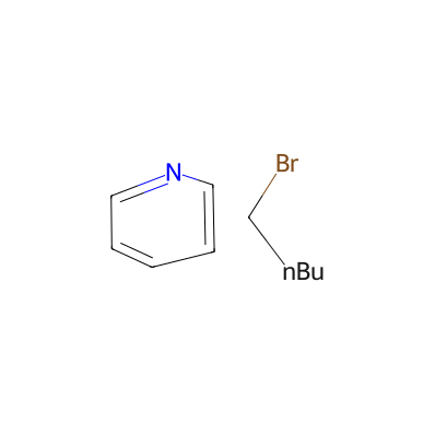 CCCCCBr.c1ccncc1